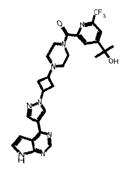 CC(C)(O)c1cc(C(=O)N2CCN(C3CC(n4cc(-c5ncnc6[nH]ccc56)cn4)C3)CC2)nc(C(F)(F)F)c1